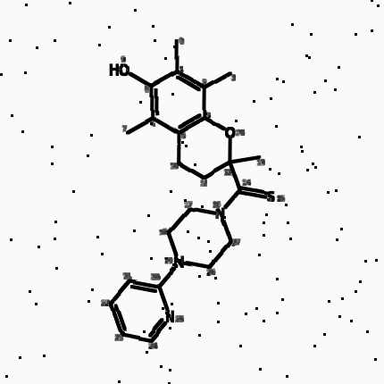 Cc1c(C)c2c(c(C)c1O)CCC(C)(C(=S)N1CCN(c3ccccn3)CC1)O2